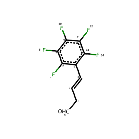 O=CCC=Cc1c(F)c(F)c(F)c(F)c1F